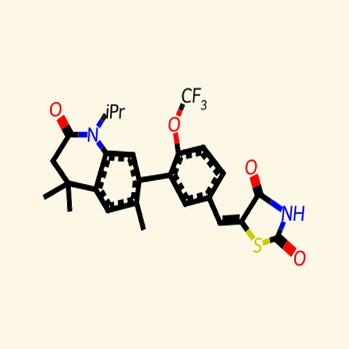 Cc1cc2c(cc1-c1cc(/C=C3/SC(=O)NC3=O)ccc1OC(F)(F)F)N(C(C)C)C(=O)CC2(C)C